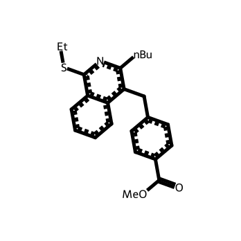 CCCCc1nc(SCC)c2ccccc2c1Cc1ccc(C(=O)OC)cc1